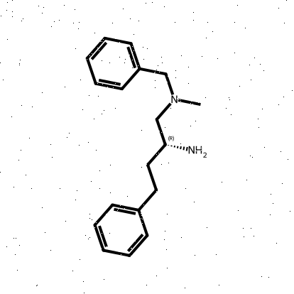 CN(Cc1ccccc1)C[C@H](N)CCc1ccccc1